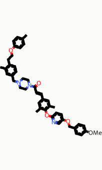 COc1ccc(COc2ccc(Oc3c(C)cc(/C=C/C(=O)N4CCN(Cc5ccc(CCOc6ccc(C)cc6)c(C)c5)CC4)cc3C)nc2)cc1